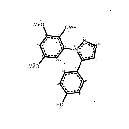 COc1cc(OC)c(OC)c(-n2nncc2-c2ccc(O)cc2)c1